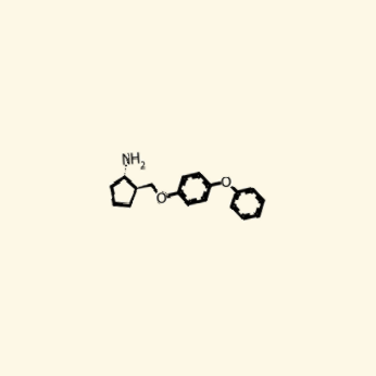 N[C@H]1CCC[C@@H]1COc1ccc(Oc2ccccc2)cc1